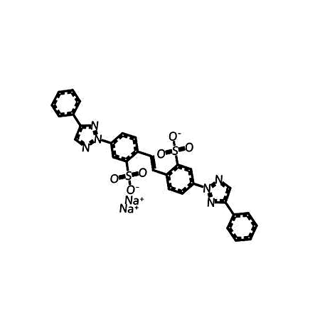 O=S(=O)([O-])c1cc(-n2ncc(-c3ccccc3)n2)ccc1C=Cc1ccc(-n2ncc(-c3ccccc3)n2)cc1S(=O)(=O)[O-].[Na+].[Na+]